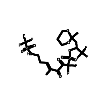 CC(=CCCNS(=O)(=O)C(F)(F)F)C(=O)C(=O)C(F)(F)S(=O)(=O)OC(CC1(C)OCCCO1)C(F)(F)F